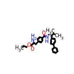 CCCOC(=O)[C@@H](N)Cc1ccc(C(=O)NC[C@@H](c2ccc(-c3ccccc3)cc2)C(C)C)cc1